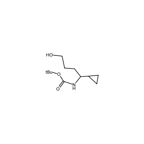 CC(C)(C)OC(=O)NC(CCCO)C1CC1